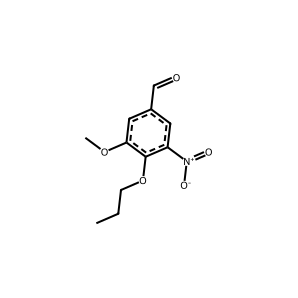 CCCOc1c(OC)cc(C=O)cc1[N+](=O)[O-]